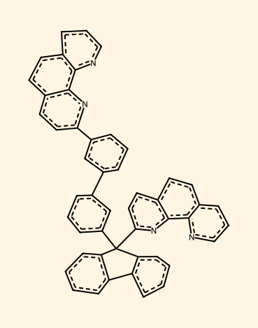 c1cc(-c2cccc(C3(c4ccc5ccc6cccnc6c5n4)c4ccccc4-c4ccccc43)c2)cc(-c2ccc3ccc4cccnc4c3n2)c1